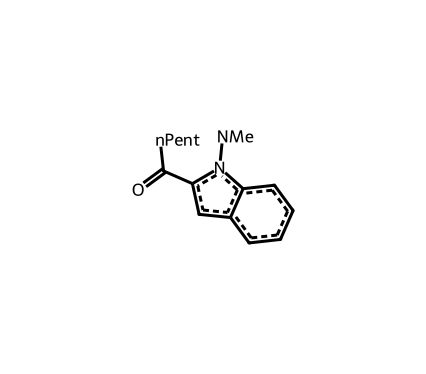 CCCCCC(=O)c1cc2ccccc2n1NC